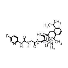 CC(C)c1cccc(C(C)C)c1CC(=O)N=S(N)(=O)/C(C=N)=C/NC(=O)CNC(=O)Nc1ccc(F)cn1